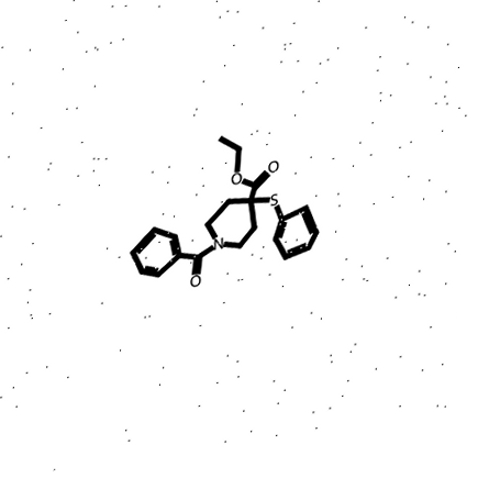 CCOC(=O)C1(Sc2ccccc2)CCN(C(=O)c2ccccc2)CC1